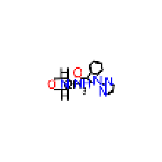 CN1[C@@H]2COC[C@H]1C[C@@H](NC(=O)c1cn(-c3ncccn3)c3ccccc13)C2